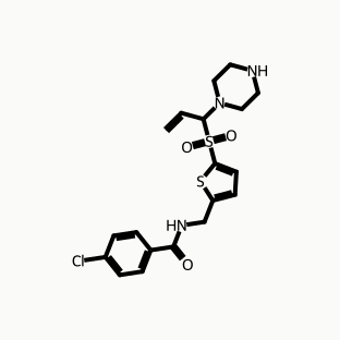 C=CC(N1CCNCC1)S(=O)(=O)c1ccc(CNC(=O)c2ccc(Cl)cc2)s1